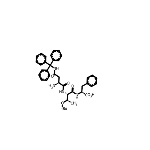 C[C@@H](OC(C)(C)C)[C@H](NC(=O)[C@@H](N)CC(=O)NC(c1ccccc1)(c1ccccc1)c1ccccc1)C(=O)N[C@@H](Cc1ccccc1)C(=O)O